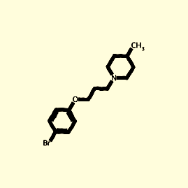 CC1CCN(CCCOc2ccc(Br)cc2)CC1